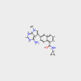 CC(C)n1cc(-c2ccc3c(C(=O)NC4CC4)cccc3c2)c2c(N)ncnc21